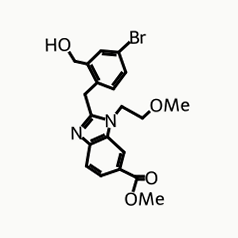 COCCn1c(Cc2ccc(Br)cc2CO)nc2ccc(C(=O)OC)cc21